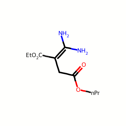 CCCOC(=O)CC(C(=O)OCC)=C(N)N